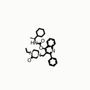 CCN1CCN(Cc2c(-c3ccccc3)nc3ccccc3c2OC(=O)N[C@@H](C)C2CCCCC2)CC1=O